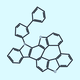 c1ccc(-c2cccc(-n3c4ccccc4c4c5ccc6oc7cccc8c7c6c5c5c(oc6cccc-8c65)c43)c2)cc1